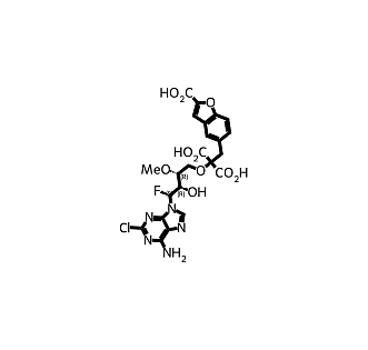 CO[C@H](COC(Cc1ccc2oc(C(=O)O)cc2c1)(C(=O)O)C(=O)O)[C@@H](O)[C@H](F)n1cnc2c(N)nc(Cl)nc21